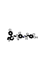 COc1cc(/C=N/NC(=O)c2ccc(O)c(Cl)c2)cc(OC)c1OCCN1CCc2sccc2C1c1ccc(Cl)cc1